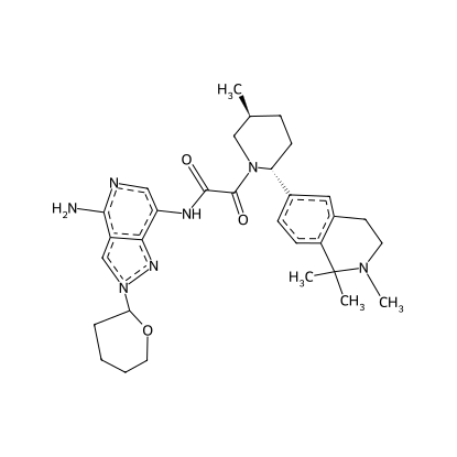 C[C@H]1CC[C@H](c2ccc3c(c2)CCN(C)C3(C)C)N(C(=O)C(=O)Nc2cnc(N)c3cn(C4CCCCO4)nc23)C1